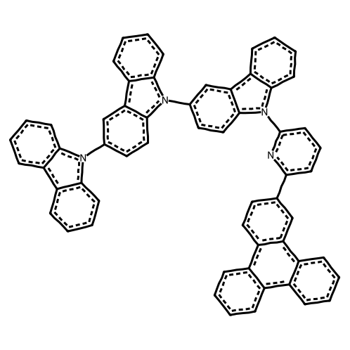 c1cc(-c2ccc3c4ccccc4c4ccccc4c3c2)nc(-n2c3ccccc3c3cc(-n4c5ccccc5c5cc(-n6c7ccccc7c7ccccc76)ccc54)ccc32)c1